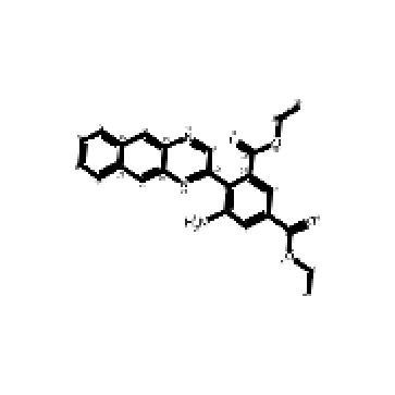 CCOC(=O)c1cc(N)c(-c2cnc3cc4ccccc4cc3n2)c(C(=O)OCC)c1